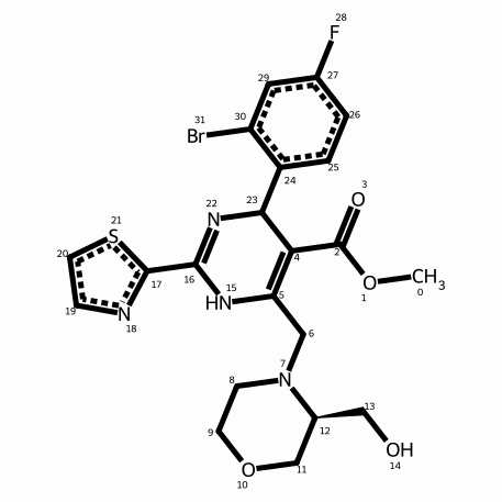 COC(=O)C1=C(CN2CCOC[C@@H]2CO)NC(c2nccs2)=NC1c1ccc(F)cc1Br